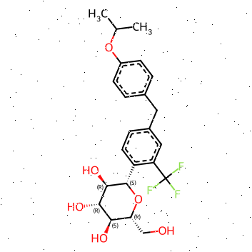 CC(C)Oc1ccc(Cc2ccc([C@@H]3O[C@H](CO)[C@@H](O)[C@H](O)[C@H]3O)c(C(F)(F)F)c2)cc1